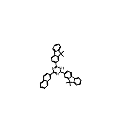 CC1(C)c2ccccc2-c2ccc(C3=NC(c4ccc5ccccc5c4)=NC(c4ccc5c(c4)C(C)(C)c4ccccc4-5)N3)cc21